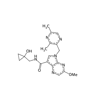 COc1cnc2c(C(=O)NCC3(O)CC3)cn(Cc3ncc(C)nc3C)c2n1